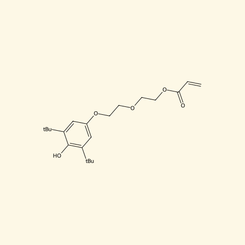 C=CC(=O)OCCOCCOc1cc(C(C)(C)C)c(O)c(C(C)(C)C)c1